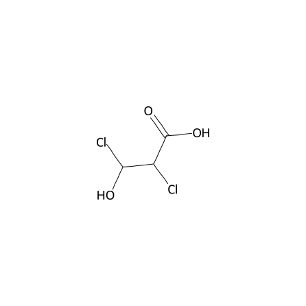 O=C(O)C(Cl)C(O)Cl